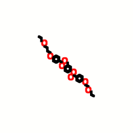 CCCOCCCCOc1ccc(C(=O)Oc2ccc(OC(=O)c3ccc(OCCOCCC)cc3)cc2C)cc1